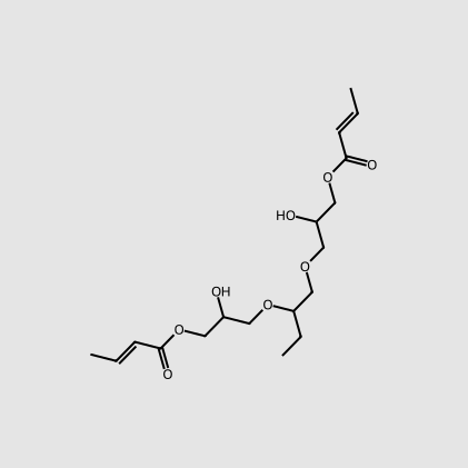 CC=CC(=O)OCC(O)COCC(CC)OCC(O)COC(=O)C=CC